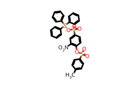 Cc1ccc(S(=O)(=O)Oc2ccc(S(=O)(=O)OS(c3ccccc3)(c3ccccc3)c3ccccc3)cc2[N+](=O)[O-])cc1